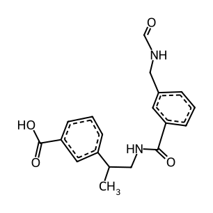 CC(CNC(=O)c1cccc(CNC=O)c1)c1cccc(C(=O)O)c1